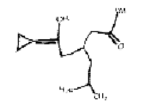 CC(C)CC(CC(=O)O)CC(O)=C1CC1